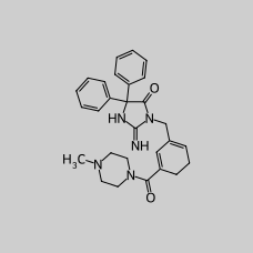 CN1CCN(C(=O)C2=CC(CN3C(=N)NC(c4ccccc4)(c4ccccc4)C3=O)=CCC2)CC1